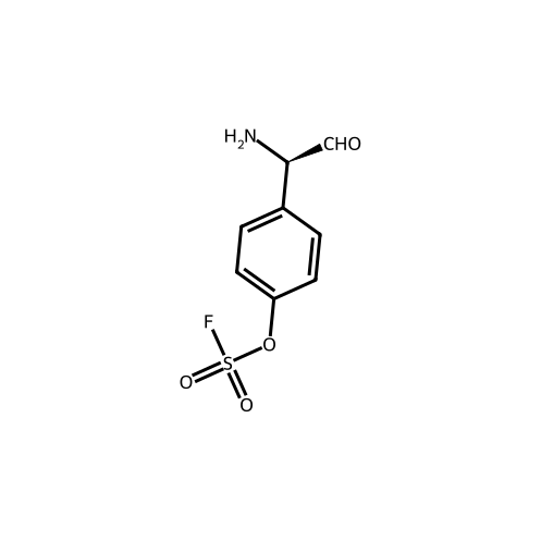 N[C@@H](C=O)c1ccc(OS(=O)(=O)F)cc1